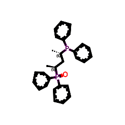 C[C@@H](C[C@H](C)P(=O)(c1ccccc1)c1ccccc1)P(c1ccccc1)c1ccccc1